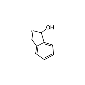 OC1[C]Cc2ccccc21